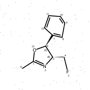 CC1=N[C@@H](CF)[C@H](c2ccccc2)O1